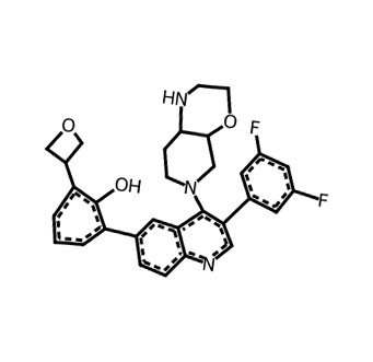 Oc1c(-c2ccc3ncc(-c4cc(F)cc(F)c4)c(N4CCC5NCCOC5C4)c3c2)cccc1C1COC1